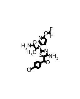 CC(C(N)=O)N(c1ccc(OC(F)F)nc1)c1nc(N)c(C(=O)c2ccc(Cl)cc2)s1